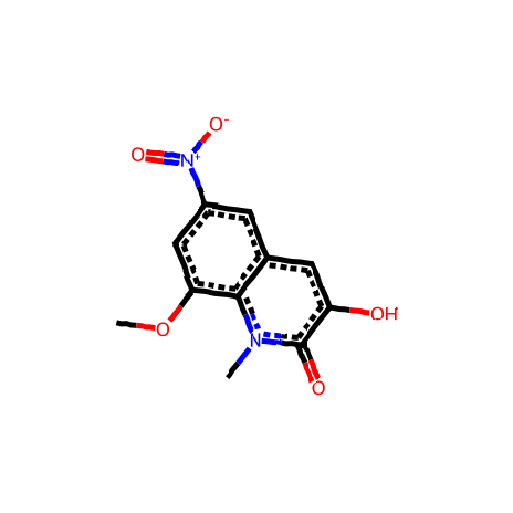 COc1cc([N+](=O)[O-])cc2cc(O)c(=O)n(C)c12